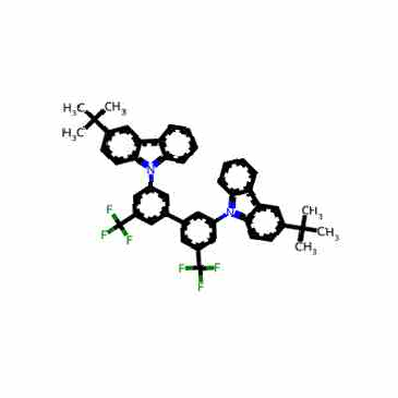 CC(C)(C)c1ccc2c(c1)c1ccccc1n2-c1cc(-c2cc(-n3c4ccccc4c4cc(C(C)(C)C)ccc43)cc(C(F)(F)F)c2)cc(C(F)(F)F)c1